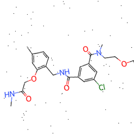 CCOCCN(C)C(=O)c1cc(Cl)cc(C(=O)NCc2ccc(C)cc2OCC(=O)NC)c1